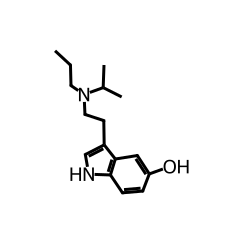 CCCN(CCc1c[nH]c2ccc(O)cc12)C(C)C